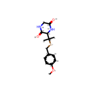 COc1ccc(CSC(C)(C)C2NC(=O)CNC2=O)cc1